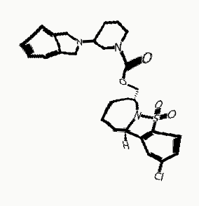 O=C(OC[C@H]1CCC[C@H]2c3cc(Cl)ccc3S(=O)(=O)N12)N1CCCC(N2Cc3ccccc3C2)C1